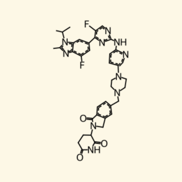 Cc1nc2c(F)cc(-c3nc(Nc4ccc(N5CCN(Cc6ccc7c(c6)CN(C6CCC(=O)NC6=O)C7=O)CC5)cn4)ncc3F)cc2n1C(C)C